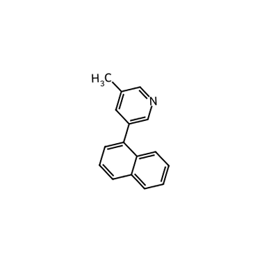 Cc1cncc(-c2cccc3ccccc23)c1